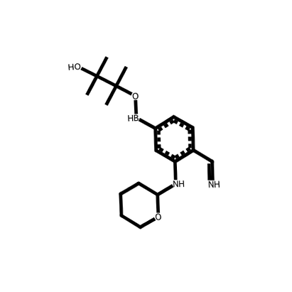 CC(C)(O)C(C)(C)OBc1ccc(C=N)c(NC2CCCCO2)c1